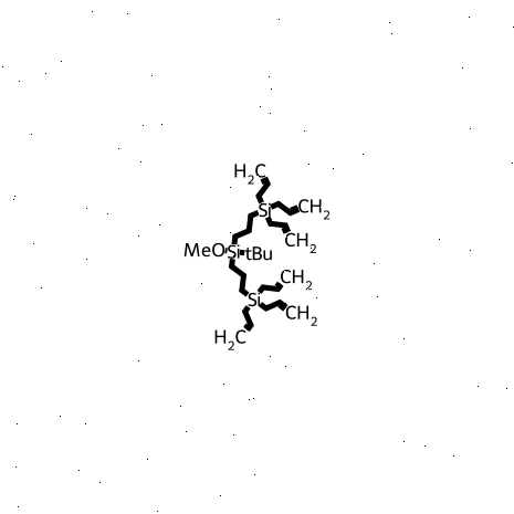 C=CC[Si](CC=C)(CC=C)CCC[Si](CCC[Si](CC=C)(CC=C)CC=C)(OC)C(C)(C)C